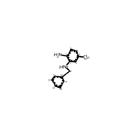 Nc1ccc(Cl)cc1NCc1ccccc1